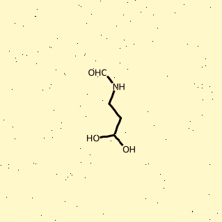 O=CNCCC(O)O